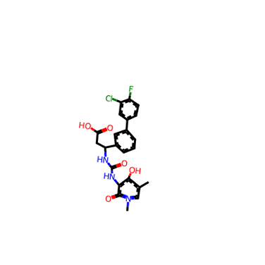 Cc1cn(C)c(=O)c(NC(=O)NC(CC(=O)O)c2cccc(-c3ccc(F)c(Cl)c3)c2)c1O